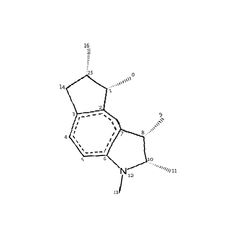 C[C@@H]1c2c(ccc3c2[C@H](C)[C@H](C)N3C)C[C@@H]1C